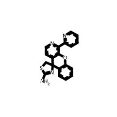 NC1=NC2(CS1)c1ccccc1Oc1c2ccnc1-c1ccccn1